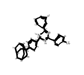 Clc1ccc(-c2nc(-c3ccccc3)nc(-c3ccc(C45CC6CC(CC(C6)C4)C5)cc3)n2)cc1